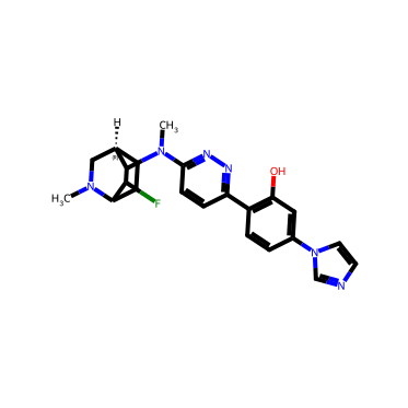 CN1C[C@H]2CCC1C(F)C2N(C)c1ccc(-c2ccc(-n3ccnc3)cc2O)nn1